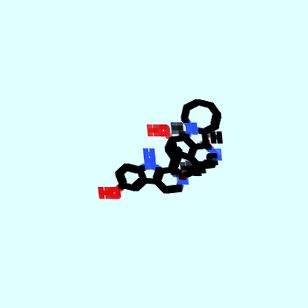 Oc1ccc2[nH]c3c(C4=C[C@@]5(O)CC/C=C/CCCCN6CC[C@@H]4[C@]4(C[C@@H]7/C=C\CCCCN7[C@H]45)C6)nccc3c2c1